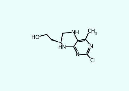 Cc1nc(Cl)nc2c1NC[C@H](CCO)N2